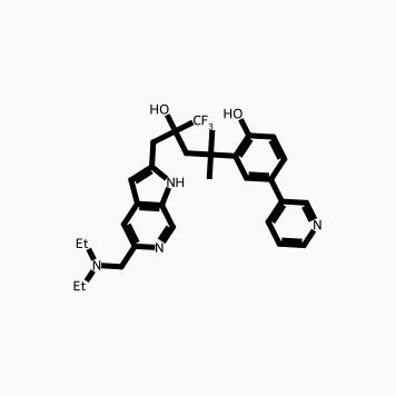 CCN(CC)Cc1cc2cc(CC(O)(CC(C)(C)c3cc(-c4cccnc4)ccc3O)C(F)(F)F)[nH]c2cn1